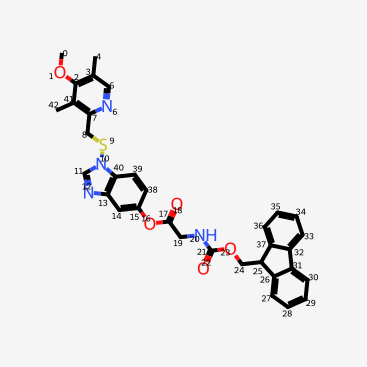 COc1c(C)cnc(CSn2cnc3cc(OC(=O)CNC(=O)OCC4c5ccccc5-c5ccccc54)ccc32)c1C